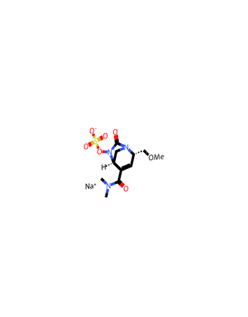 COC[C@@H]1C=C(C(=O)N(C)C)[C@@H]2CN1C(=O)N2OS(=O)(=O)[O-].[Na+]